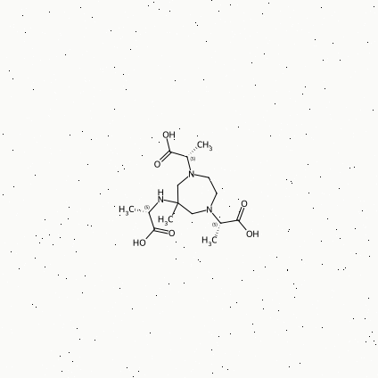 C[C@H](NC1(C)CN([C@@H](C)C(=O)O)CCN([C@@H](C)C(=O)O)C1)C(=O)O